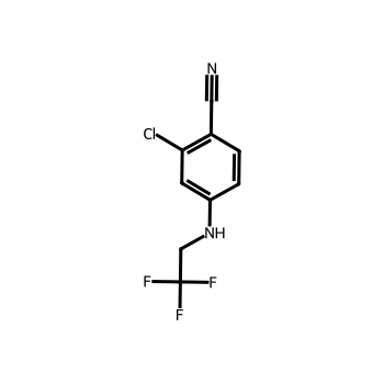 N#Cc1ccc(NCC(F)(F)F)cc1Cl